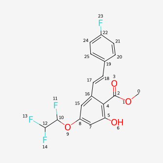 COC(=O)c1c(O)cc(OC(F)C(F)F)cc1C=Cc1ccc(F)cc1